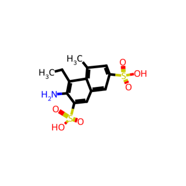 CCc1c(N)c(S(=O)(=O)O)cc2cc(S(=O)(=O)O)cc(C)c12